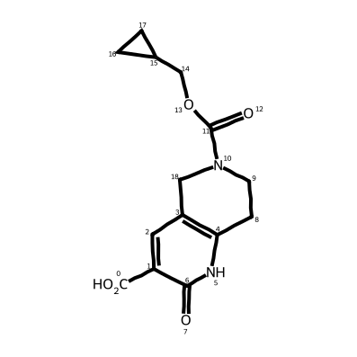 O=C(O)c1cc2c([nH]c1=O)CCN(C(=O)OCC1CC1)C2